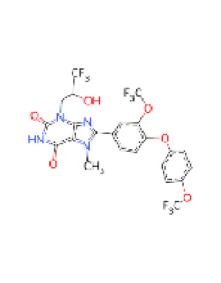 Cn1c(-c2ccc(Oc3ccc(OC(F)(F)F)cc3)c(OC(F)(F)F)c2)nc2c1c(=O)[nH]c(=O)n2CC(O)C(F)(F)F